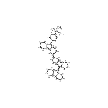 C[Si](C)(C)c1ccc(-n2c3ccccc3c3cc(-c4ccc5c(c4)c4ccccc4n5-n4c5ccccc5c5ccccc54)ccc32)cc1